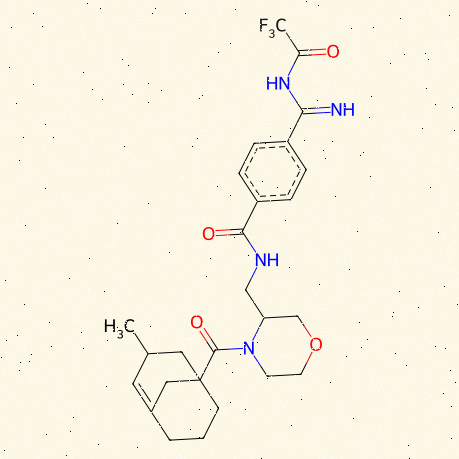 CC1C=C2CCCC(C(=O)N3CCOCC3CNC(=O)c3ccc(C(=N)NC(=O)C(F)(F)F)cc3)(C2)C1